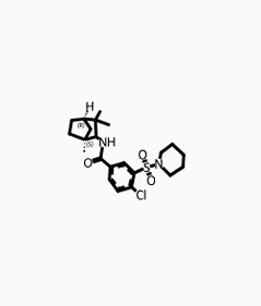 CC1(C)C(NC(=O)c2ccc(Cl)c(S(=O)(=O)N3CCCCC3)c2)[C@@]2(C)CC[C@@H]1C2